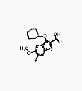 COc1cc2c(OC3CCCCC3)c(C(=O)O)sc2cc1F